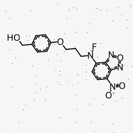 O=[N+]([O-])c1ccc(N(F)CCCOc2ccc(CO)cc2)c2nonc12